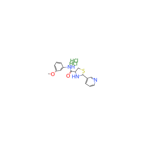 COc1cccc(NC(=O)C2CSC(c3cccnc3)N2)c1.Cl.Cl